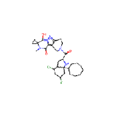 CN(C(=O)c1[nH]nc2c1CN(C(=O)C1CC3C(Cl)CC(F)CC3(C3CCCCCCC3)N1)CC2)C1(CO)CC1